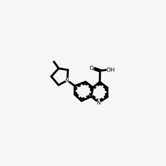 CC1CCN(c2ccc3nccc(C(=O)O)c3c2)C1